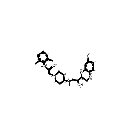 Cc1cccc(C)c1NC(=O)CN1CCC(NCC(O)C2COc3ccc(Cl)cc3O2)CC1